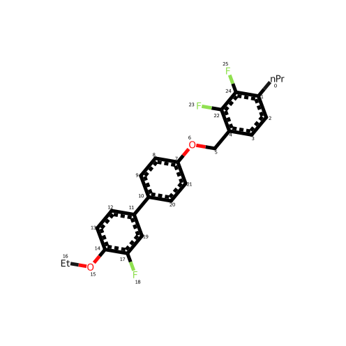 CCCc1ccc(COc2ccc(-c3ccc(OCC)c(F)c3)cc2)c(F)c1F